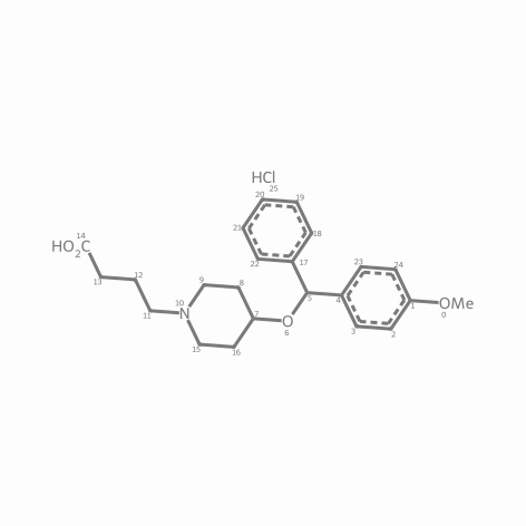 COc1ccc(C(OC2CCN(CCCC(=O)O)CC2)c2ccccc2)cc1.Cl